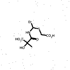 CCC(NC(=O)C(C)(O)C(=O)O)SCC(=O)O